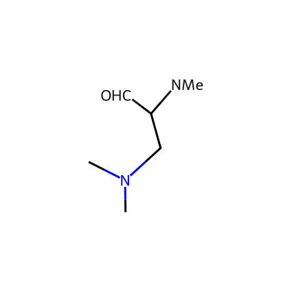 CNC(C=O)CN(C)C